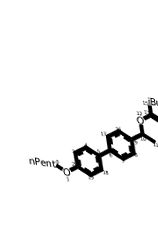 CCCCCOc1ccc(-c2ccc(C(C)OC(=O)C(C)CC)cc2)cc1